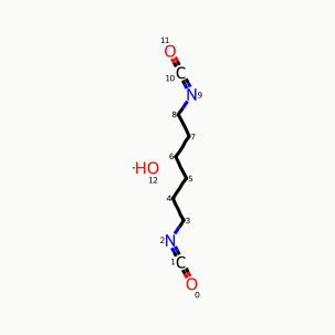 O=C=NCCCCCCN=C=O.[OH]